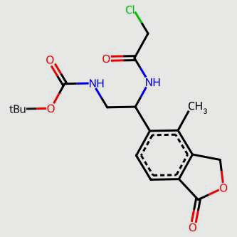 Cc1c(C(CNC(=O)OC(C)(C)C)NC(=O)CCl)ccc2c1COC2=O